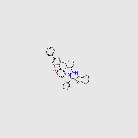 c1ccc(-c2cc3oc4cccc5c6c(-c7nc(-c8ccccc8)c8sc9ccccc9c8n7)cccc6c(c2)c3c45)cc1